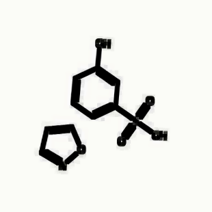 O=S(=O)(O)c1cccc(O)c1.c1cnoc1